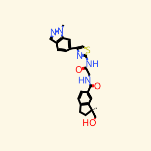 Cn1ncc2ccc(-c3csc(NC(=O)CNC(=O)c4ccc5c(c4)[C@@](C)(CO)CC5)n3)cc21